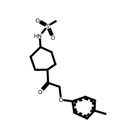 Cc1ccc(OCC(=O)C2CCC(NS(C)(=O)=O)CC2)cc1